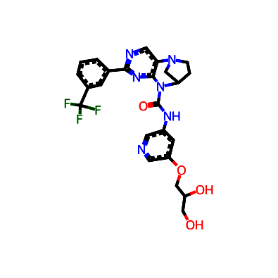 O=C(Nc1cncc(OCC(O)CO)c1)N1c2nc(-c3cccc(C(F)(F)F)c3)ncc2N2CCC1C2